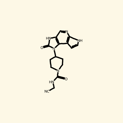 N#CCNC(=O)N1CCC(n2c(=O)[nH]c3cnc4[nH]ccc4c32)CC1